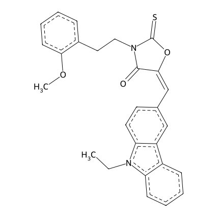 CCn1c2ccccc2c2cc(/C=C3/OC(=S)N(CCc4ccccc4OC)C3=O)ccc21